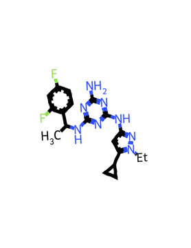 CCn1nc(Nc2nc(N)nc(NC(C)c3ccc(F)cc3F)n2)cc1C1CC1